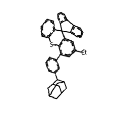 CCc1cc(-c2cccc(C3C4CC5CC(C4)CC3C5)c2)c2c(c1)C1(c3ccccc3S2)c2ccccc2-c2ccccc21